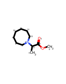 COC(=O)C(C)N1CCCCCCC1